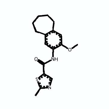 COc1cc2c(cc1NC(=O)c1cnc(C)s1)CCCCC2